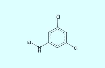 [CH2]CNc1cc(Cl)cc(Cl)c1